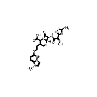 CN1C=CN2NC(S/C=C/C3=C(C(=O)O)N4C(=O)[C@@H](NC(=O)/C(=N\O)c5nsc(N)n5)[C@@H]4SC3)=CC=C12